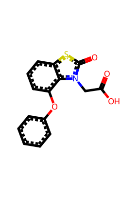 O=C(O)Cn1c(=O)sc2cccc(Oc3ccccc3)c21